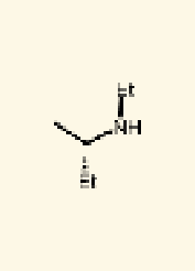 CCN[C@@H](C)CC